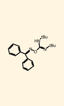 CC(C)(C)N=C(NC(C)(C)C)ON=C(c1ccccc1)c1ccccc1